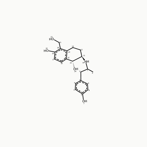 CC(Cc1ccc(O)cc1)N[C@@H]1CCc2c(ccc(O)c2CO)[C@H]1O